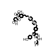 Cn1c(=O)n([C@H]2CCC(=O)NC2=O)c2ccc(CCCN3CCC(N4CCN(Cc5ccc(-c6cn([C@H]7CC[C@H](O)CC7)c7nc(NCCC(F)(F)F)ncc67)cc5)CC4)CC3)cc21